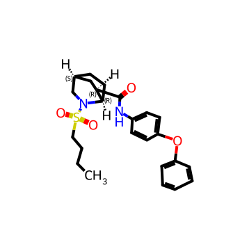 CCCCS(=O)(=O)N1C[C@H]2CC[C@@H]1[C@H](C(=O)Nc1ccc(Oc3ccccc3)cc1)C2